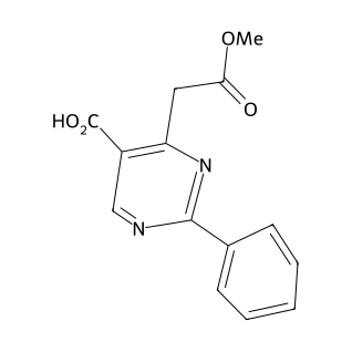 COC(=O)Cc1nc(-c2ccccc2)ncc1C(=O)O